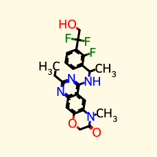 CCc1nc(NC(C)c2cccc(C(F)(F)CO)c2F)c2cc3c(cc2n1)OCC(=O)N3C